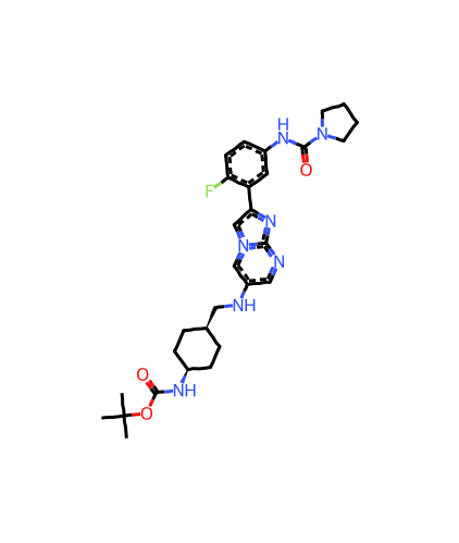 CC(C)(C)OC(=O)N[C@H]1CC[C@@H](CNc2cnc3nc(-c4cc(NC(=O)N5CCCC5)ccc4F)cn3c2)CC1